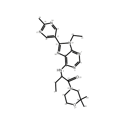 CCC(Nc1ncnc2c1nc(-c1cnc(C)nc1)n2CC)C(=O)N1CCOC(C)(C)C1